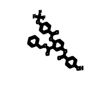 O=C(Oc1ccc(OC(=O)c2ccc(OC(F)(F)F)cc2)c(C(=O)OCc2ccccc2)c1)c1ccc(O)cc1